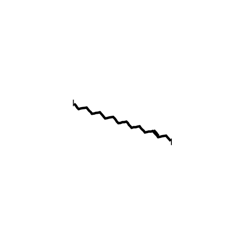 ICC=CCCCCCCCCCCCI